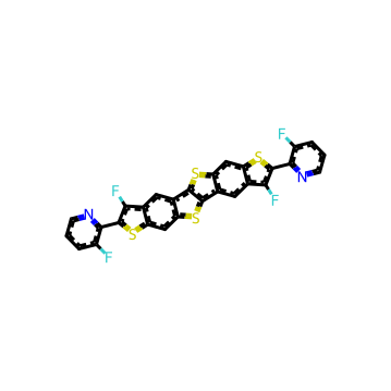 Fc1cccnc1-c1sc2cc3sc4c5cc6c(F)c(-c7ncccc7F)sc6cc5sc4c3cc2c1F